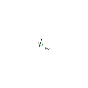 F.[Ho].[LiH].[Y]